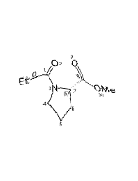 CCC(=O)N1CCC[C@H]1C(=O)OC